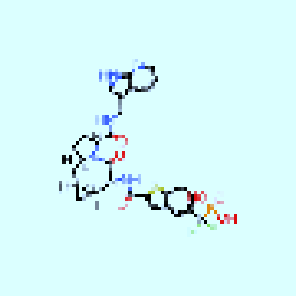 O=C(N[C@H]1C[C@H]2C[C@H]2C[C@H]2CC[C@@H](C(=O)NCc3c[nH]c4ncccc34)N2C1=O)c1cc2cc(C(F)(F)P(=O)(O)O)ccc2s1